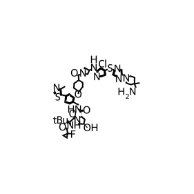 Cc1ncsc1-c1ccc(CNC(=O)[C@@H]2C[C@@H](O)CN2C(=O)[C@@H](NC(=O)C2(F)CC2)C(C)(C)C)c(OC2CCC(C(=O)N3CC(Nc4nccc(Sc5cnc(N6CCC(C)(CN)CC6)cn5)c4Cl)C3)CC2)c1